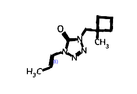 C/C=C/n1nnn(CC2(C)CCC2)c1=O